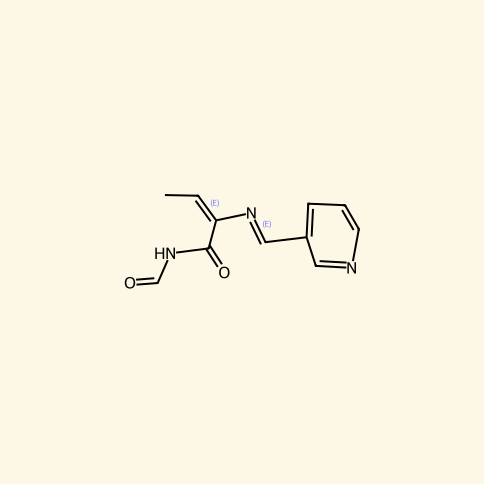 C/C=C(/N=C/c1cccnc1)C(=O)NC=O